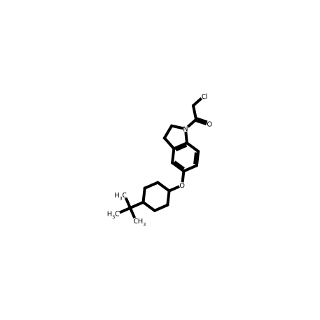 CC(C)(C)C1CCC(Oc2ccc3c(c2)CCN3C(=O)CCl)CC1